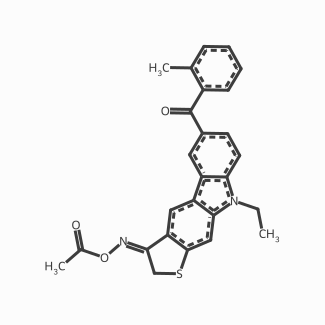 CCn1c2ccc(C(=O)c3ccccc3C)cc2c2cc3c(cc21)SC/C3=N\OC(C)=O